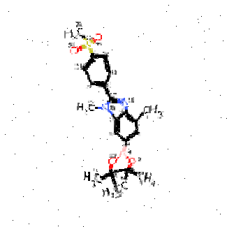 Cc1cc(B2OC(C)(C)C(C)(C)O2)cc2c1nc(-c1ccc(S(C)(=O)=O)cc1)n2C